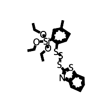 CCO[Si](OCC)(OCC)c1cc(C)ccc1SSSc1nc2ccccc2s1